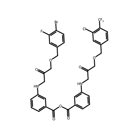 O=C(CNc1cccc(C(=O)OC(=O)c2cccc(NCC(=O)COCc3ccc(C(F)(F)F)c(Cl)c3)c2)c1)COCc1ccc(Br)c(F)c1